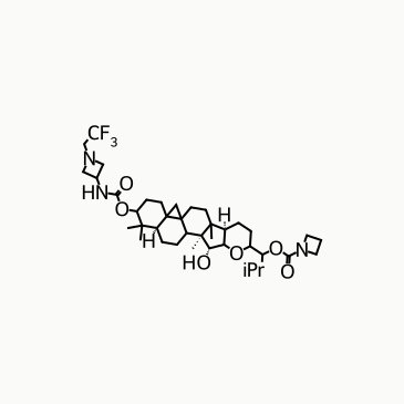 CC(C)C(OC(=O)N1CCC1)C1CC[C@H]2C(O1)[C@H](O)[C@@]1(C)C3CC[C@H]4C(C)(C)C(OC(=O)NC5CN(CC(F)(F)F)C5)CCC45CC35CCC21C